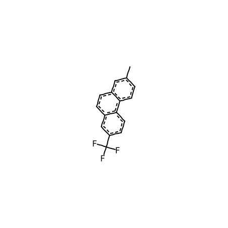 Cc1ccc2c(ccc3cc(C(F)(F)F)ccc32)c1